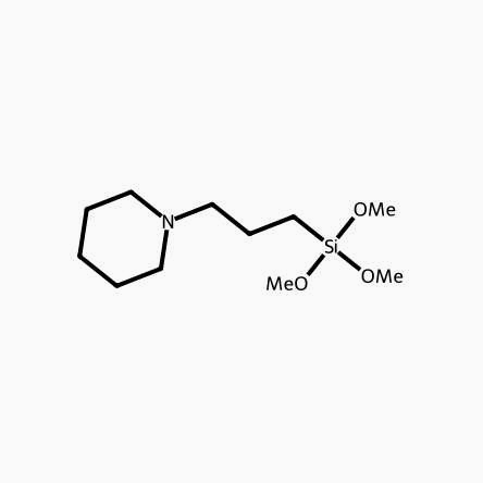 CO[Si](CCCN1CCCCC1)(OC)OC